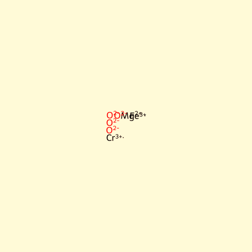 [Cr+3].[Fe+3].[Mg+2].[O-2].[O-2].[O-2].[O-2]